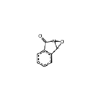 O=C1c2ccccc2[C]2ON21